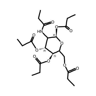 CCC(=O)NC1[C@@H](OC(=O)CC)OC(COC(=O)CC)[C@@H](OC(=O)CC)[C@@H]1OC(=O)CC